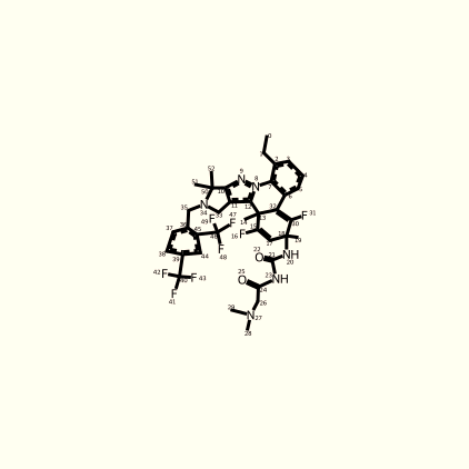 CCc1cccc2c1-n1nc3c(c1C1(C)C(F)=CC(C)(NC(=O)NC(=O)CN(C)C)C(F)=C21)CN(Cc1ccc(C(F)(F)F)cc1C(F)(F)F)C3(C)C